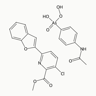 CC(=O)Nc1ccc([As](=O)(O)OO)cc1.COC(=O)c1nc(-c2cc3ccccc3o2)ccc1Cl